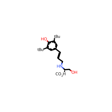 CC(C)(C)c1cc(/C=C/CN[C@@H](CO)C(=O)O)cc(C(C)(C)C)c1O